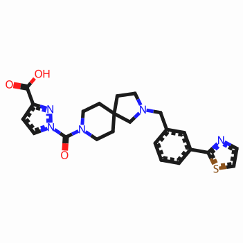 O=C(O)c1ccn(C(=O)N2CCC3(CCN(Cc4cccc(-c5nccs5)c4)C3)CC2)n1